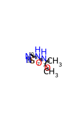 COCC(C)NC(=O)Nc1cnns1